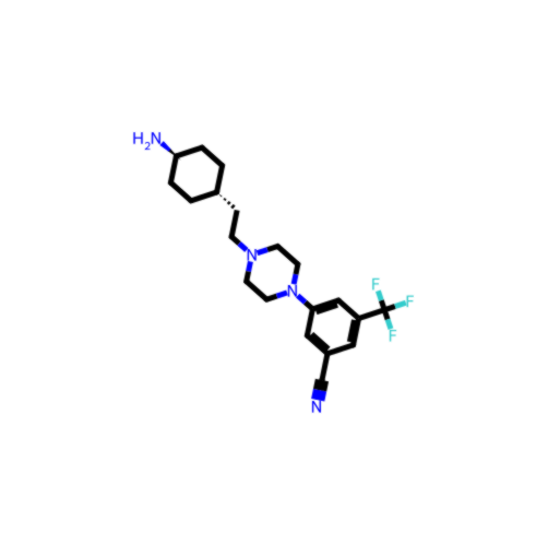 N#Cc1cc(N2CCN(CC[C@H]3CC[C@H](N)CC3)CC2)cc(C(F)(F)F)c1